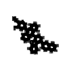 N#Cc1ccc(-c2c3ccccc3c(-c3ccc(-c4ccc5ccccc5c4)c4c3oc3ccccc34)c3ccccc23)cc1F